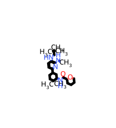 CNc1nc(C2CCC(C)(C)C(NC(=O)C3CCCCO3)C2)ccc1NCC(C)(C)C